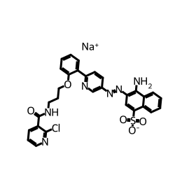 Nc1c(N=Nc2ccc(-c3ccccc3OCCCNC(=O)c3cccnc3Cl)nc2)cc(S(=O)(=O)[O-])c2ccccc12.[Na+]